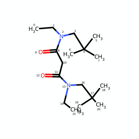 CCN(CC(C)(C)C)C(=O)CC(=O)N(CC)CC(C)(C)C